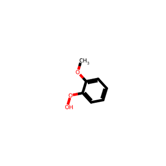 COc1ccccc1OO